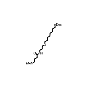 CCCCCCCCCCCCCCCCCCOCCCNC(=O)CCCNC